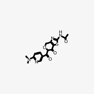 CC(=O)Nc1nc2c(s1)C(=O)C(C(=O)c1ccc(N(C)C)nc1)OC2